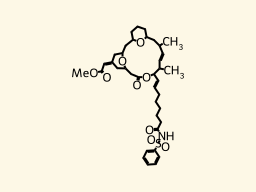 COC(=O)/C=C1\CC2CC(=O)OC(/C=C/CCCCCC(=O)NS(=O)(=O)c3ccccc3)C(C)/C=C/C(C)CC3CCCC(CC(C1)O2)O3